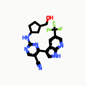 N#Cc1cnc(NC2CCC(CO)C2)nc1-c1c[nH]c2ncc(C(F)(F)F)cc12